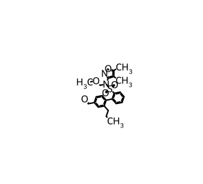 CCCc1cc(C=O)ccc1-c1ccccc1S(=O)(=O)N(COC)c1noc(C)c1C